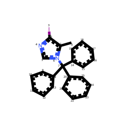 Cc1c(I)ncn1C(c1ccccc1)(c1ccccc1)c1ccccc1